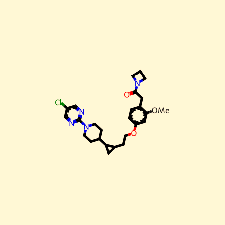 COc1cc(OCCC2CC2C2CCN(c3ncc(Cl)cn3)CC2)ccc1CC(=O)N1CCC1